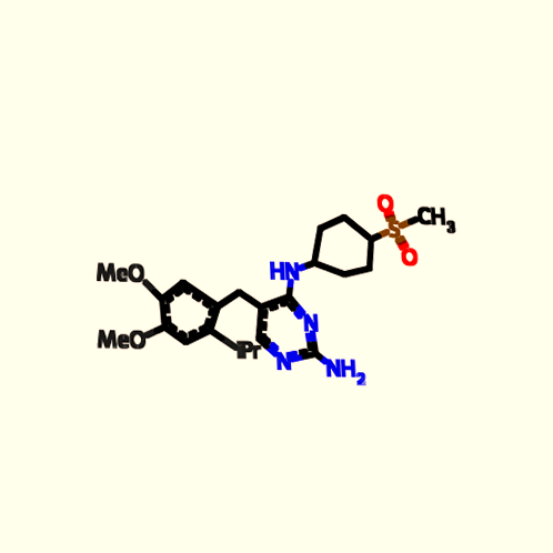 COc1cc(Cc2cnc(N)nc2NC2CCC(S(C)(=O)=O)CC2)c(C(C)C)cc1OC